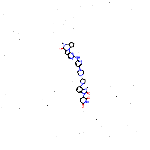 CN(C)C(=O)c1cc2cnc(Nc3ccc(N4CCN([C@@H]5CCN(c6cccc7c6n(C)c(=O)n7[C@@H]6CCC(=O)NC6=O)C5)CC4)cn3)nc2n1C1CCCC1